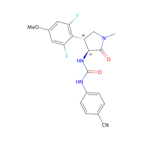 COc1cc(F)c([C@@H]2CN(C)C(=O)[C@H]2NC(=O)Nc2ccc(C#N)cc2)c(F)c1